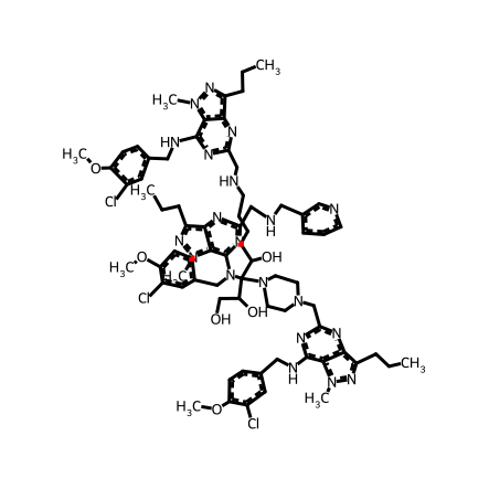 CCCc1nn(C)c2c(NCc3ccc(OC)c(Cl)c3)nc(CNCCCCC(O)C(C(O)CO)(N3CCN(Cc4nc(NCc5ccc(OC)c(Cl)c5)c5c(n4)c(CCC)nn5C)CC3)N(Cc3ccc(OC)c(Cl)c3)c3nc(CNCc4cccnc4)nc4c(CCC)nn(C)c34)nc12